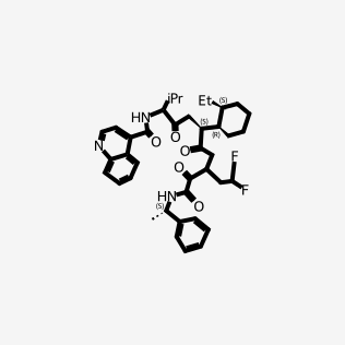 CC[C@H]1CCCC[C@H]1[C@H](CC(=O)C(NC(=O)c1ccnc2ccccc12)C(C)C)C(=O)CC(CC(F)F)C(=O)C(=O)N[C@@H](C)c1ccccc1